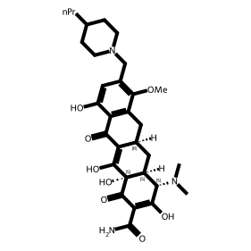 CCCC1CCN(Cc2cc(O)c3c(c2OC)C[C@H]2C[C@H]4[C@H](N(C)C)C(O)=C(C(N)=O)C(=O)[C@@]4(O)C(O)=C2C3=O)CC1